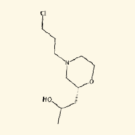 CC(O)C[C@@H]1CN(CCCCl)CCO1